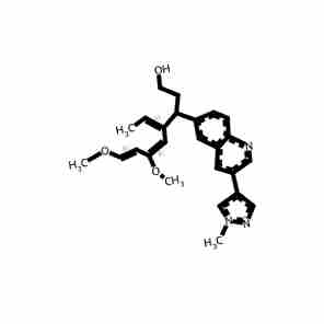 C\C=C(/C=C(\C=C\OC)OC)C(CCO)c1ccc2ncc(-c3cnn(C)c3)cc2c1